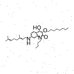 CCCCCCCCOc1c(O)c2ccc(NC/C=C(\C)CCC=C(C)C)cc2n(CCCC)c1=O